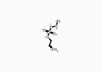 C=CCOS(=O)(=O)OOCC